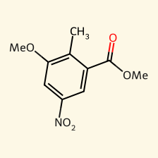 COC(=O)c1cc([N+](=O)[O-])cc(OC)c1C